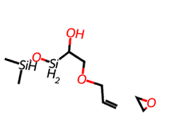 C1CO1.C=CCOCC(O)[SiH2]O[SiH](C)C